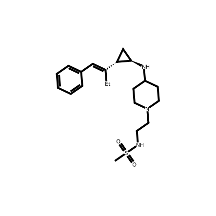 CC/C(=C\c1ccccc1)[C@@H]1C[C@H]1NC1CCN(CCNS(C)(=O)=O)CC1